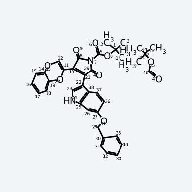 CC(C)(C)OC(=O)N1C(=O)C(C2=COc3ccccc3O2)=C(c2c[nH]c3cc(OCc4ccccc4)ccc23)C1=O.CC(C)(C)OC=O